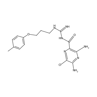 Cc1ccc(OCCCNC(=N)NC(=O)c2nc(Cl)c(N)nc2N)cc1